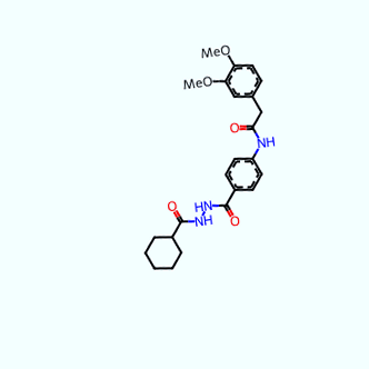 COc1ccc(CC(=O)Nc2ccc(C(=O)NNC(=O)C3CCCCC3)cc2)cc1OC